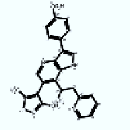 Cc1noc(C)c1-c1cnc2c(-c3ccc(C(=O)O)cc3)c[nH]c2c1C(C)Cc1ccccn1